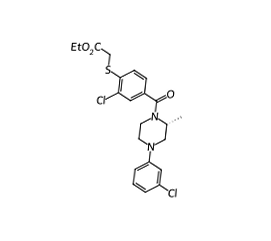 CCOC(=O)CSc1ccc(C(=O)N2CCN(c3cccc(Cl)c3)C[C@H]2C)cc1Cl